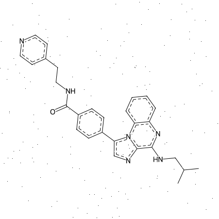 CC(C)CNc1nc2ccccc2n2c(-c3ccc(C(=O)NCCc4ccncc4)cc3)cnc12